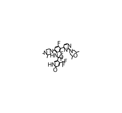 CC1CN(c2nccc(-c3c(F)cc(N4CCN(C)C(C)C4)c(NC(=O)c4c[nH]c(=O)cc4C(F)(F)F)c3F)n2)CC(C)O1